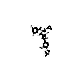 COc1cc(-c2cc3c(=O)n(C(C)c4cc(F)cc(F)c4)/c(=N/C4CC4)n(C)c3[nH]2)ccc1-n1cnc(C)c1